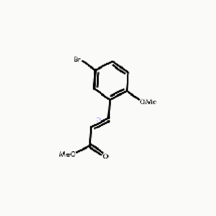 COC(=O)/C=C/c1cc(Br)ccc1OC